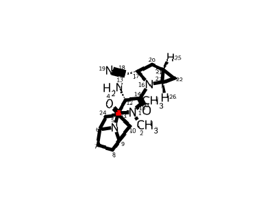 CN(C)C(=O)N1C2CCC1CC([C@H](N)C(=O)N1[C@H](C#N)C[C@@H]3C[C@@H]31)C2